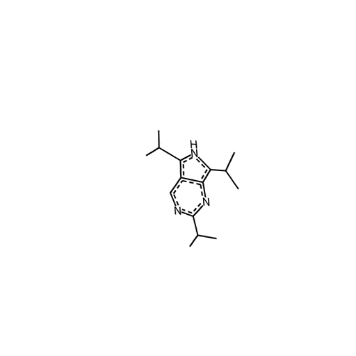 CC(C)c1ncc2c(C(C)C)[nH]c(C(C)C)c2n1